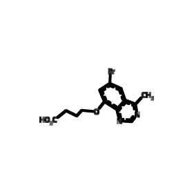 Cc1ncnc2c(OCCCC(=O)O)cc(Br)cc12